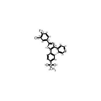 CS(=O)(=O)c1ccc(-c2sc(-c3ccc(F)c(Cl)c3)nc2-c2ccncc2)cc1